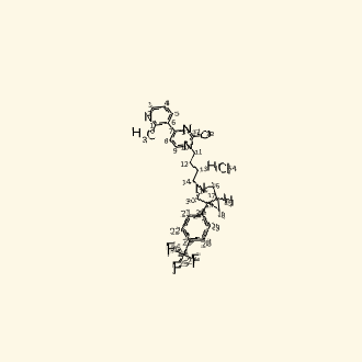 Cc1ncccc1-c1ccn(CCCCN2C[C@@H]3C[C@]3(c3ccc(C(F)(F)F)cc3)C2)c(=O)n1.Cl